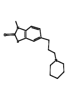 Cn1c(=O)sc2cc(CCCN3CCCCC3)ccc21